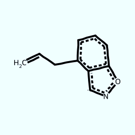 C=CCc1cccc2on[c]c12